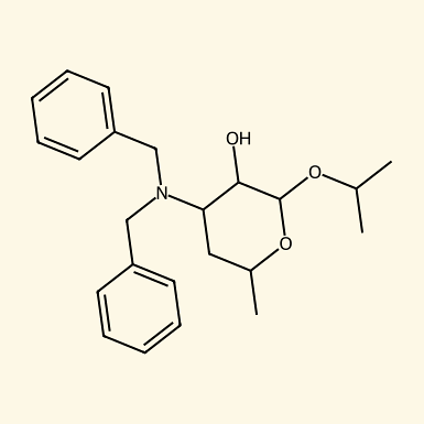 CC(C)OC1OC(C)CC(N(Cc2ccccc2)Cc2ccccc2)C1O